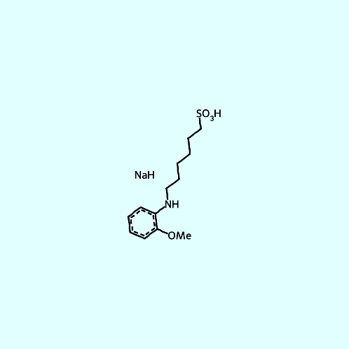 COc1ccccc1NCCCCCCS(=O)(=O)O.[NaH]